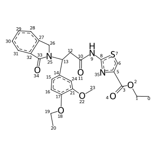 CCOC(=O)c1csc(NC(=O)CC(c2ccc(OCC)c(OC)c2)N2Cc3ccccc3C2=O)n1